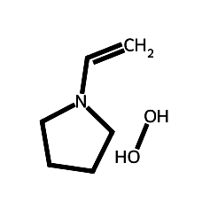 C=CN1CCCC1.OO